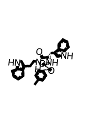 Cc1ccc(S(=O)(=O)N[C@@H](Cc2c[nH]c3ccccc23)C(=O)NCCc2c[nH]c3ccccc23)cc1